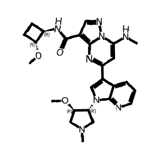 CNc1cc(-c2cn([C@@H]3CN(C)C[C@H]3OC)c3ncccc23)nc2c(C(=O)N[C@@H]3CC[C@H]3OC)cnn12